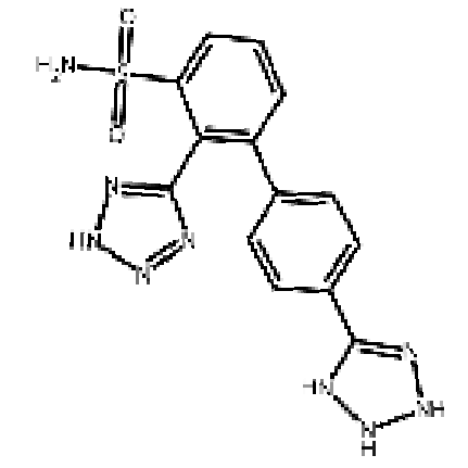 NS(=O)(=O)c1cccc(-c2ccc(C3=NNNN3)cc2)c1-c1nn[nH]n1